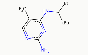 CCC(Nc1nc(N)ncc1C(F)(F)F)C(C)(C)C